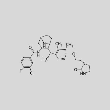 Cc1c(OCCN2CCNC2=O)ccc(C(C)C2C(NC(=O)c3ccc(F)c(Cl)c3)CC3CCC2N3)c1C